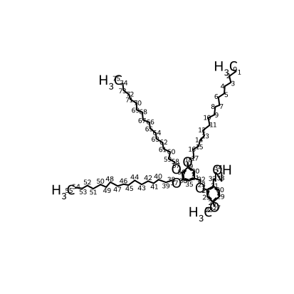 CCCCCCCCCCCCCCCCCCOc1cc(COc2cc(OC)ccc2C=NO)cc(OCCCCCCCCCCCCCCCCCC)c1OCCCCCCCCCCCCCCCCCC